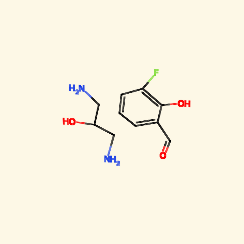 NCC(O)CN.O=Cc1cccc(F)c1O